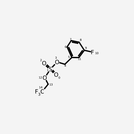 O=S(=O)(OCc1cccc(F)c1)OCC(F)(F)F